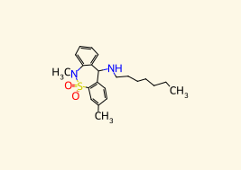 CCCCCCCNC1c2ccccc2N(C)S(=O)(=O)c2cc(C)ccc21